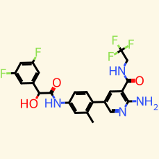 Cc1cc(NC(=O)C(O)c2cc(F)cc(F)c2)ccc1-c1cnc(N)c(C(=O)NCC(F)(F)F)c1